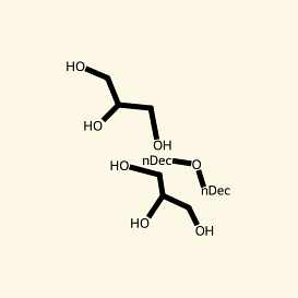 CCCCCCCCCCOCCCCCCCCCC.OCC(O)CO.OCC(O)CO